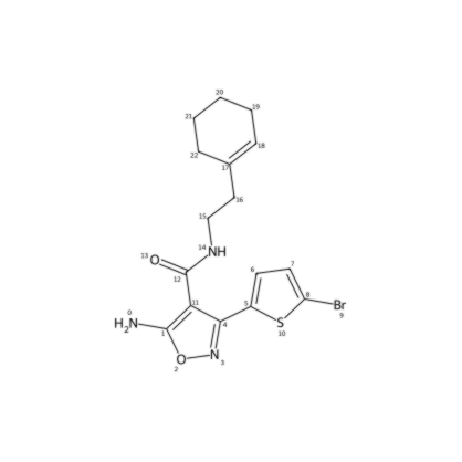 Nc1onc(-c2ccc(Br)s2)c1C(=O)NCCC1=CCCCC1